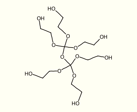 OCCOC(OCCO)(OCCO)OC(OCCO)(OCCO)OCCO